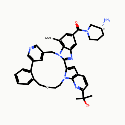 COc1cc(C(=O)N2CCC[C@@H](N)C2)cc2nc3n(c12)Cc1cncc(c1)-c1ccccc1CCCCn1c-3cc2ccc(C(C)(C)O)nc21